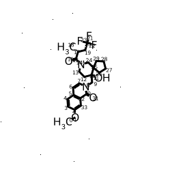 COc1ccc2ccn(CC3(O)CCN(C(=O)[C@H](C)CC(F)(F)F)CC34CCCC4)c(=O)c2c1